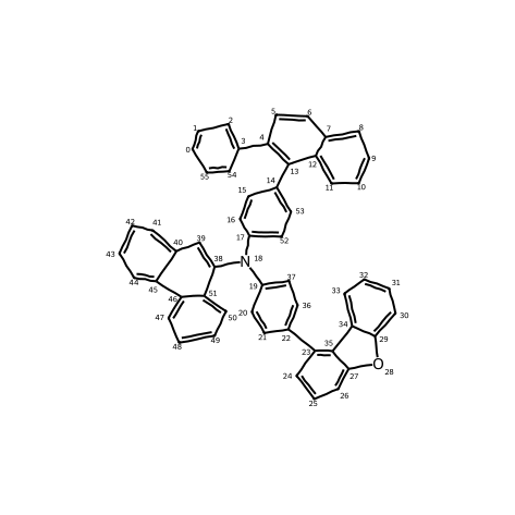 c1ccc(-c2ccc3ccccc3c2-c2ccc(N(c3ccc(-c4cccc5oc6ccccc6c45)cc3)c3cc4ccccc4c4ccccc34)cc2)cc1